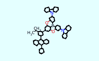 CC(C)c1cc(-c2cc3c4c(c2)Oc2cc(-n5c6ccccc6c6ccccc65)ccc2B4c2ccc(-n4c5ccccc5c5ccccc54)cc2O3)cc(-c2c3ccccc3c(-c3ccccc3)c3ccccc23)c1